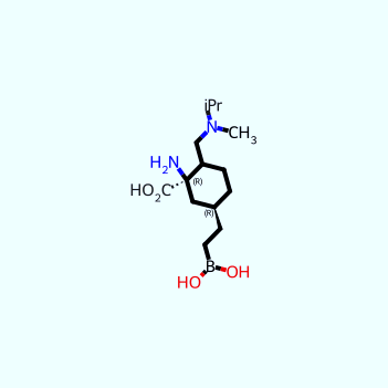 CC(C)N(C)CC1CC[C@@H](CCB(O)O)C[C@]1(N)C(=O)O